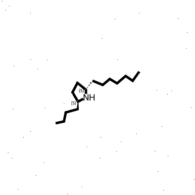 CCCCCCC[C@H]1CC[C@H](CCCC)N1